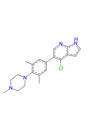 Cc1cc(-c2cnc3[nH]ccc3c2Cl)cc(C)c1N1CCN(C)CC1